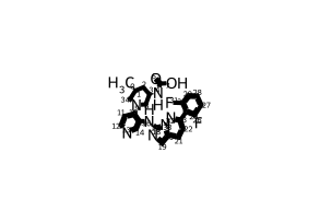 C[C@@H]1C[C@H](NC(=O)O)CN(c2ccncc2Nc2ncc3ccc(-c4c(F)cccc4F)nn23)C1